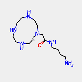 NCCCCNC(=O)CN1CCNCCNCCNCC1